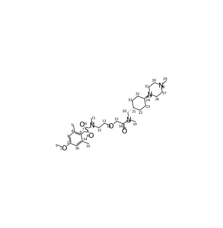 COc1cc(C)c(S(=O)(=O)N(C)CCOCC(=O)N(C)C[C@H]2CC[C@H](N3CCN(C)CC3)CC2)c(C)c1